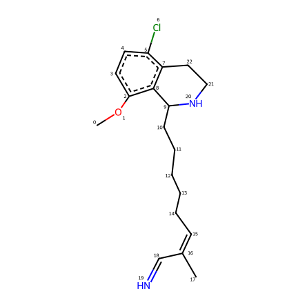 COc1ccc(Cl)c2c1C(CCCCC/C=C(/C)C=N)NCC2